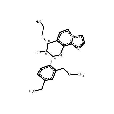 CCO[C@@H]1c2ccn3ccnc3c2N[C@H](c2ccc(CC)cc2COC)[C@H]1O